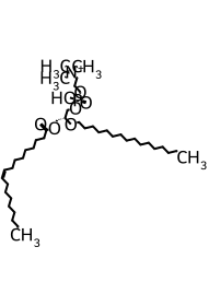 CCCCCCCC/C=C\CCCCCCCC(=O)OC[C@H](COP(=O)(O)OCC[N+](C)(C)C)OCCCCCCCCCCCCCCCC